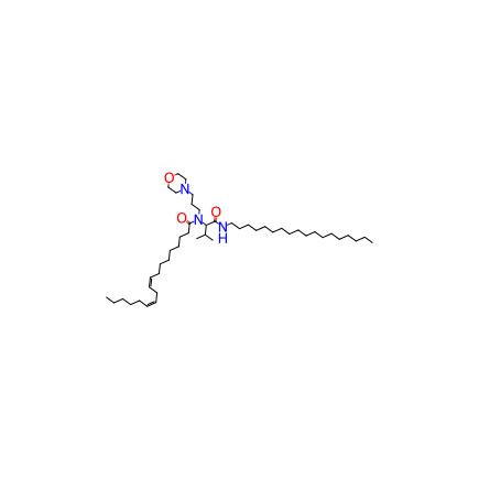 CCCCC/C=C\C/C=C\CCCCCCCC(=O)N(CCCN1CCOCC1)C(C(=O)NCCCCCCCCCCCCCCCCCC)C(C)C